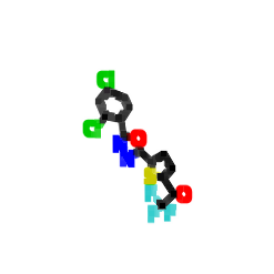 O=C(c1ccc(-c2nnc(-c3ccc(Cl)cc3Cl)o2)s1)C(F)(F)F